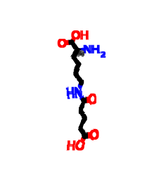 N[C@@H](CCCCNC(=O)CCCC(=O)O)C(=O)O